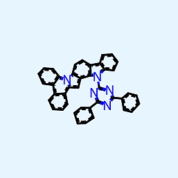 c1ccc(-c2nc(-c3ccccc3)nc(-n3c4ccccc4c4ccc5c(cc6c7ccccc7c7ccccc7n65)c43)n2)cc1